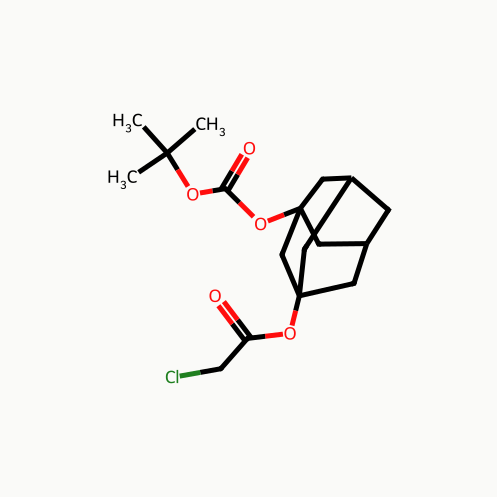 CC(C)(C)OC(=O)OC12CC3CC(CC(OC(=O)CCl)(C3)C1)C2